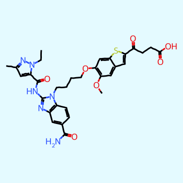 CCn1nc(C)cc1C(=O)Nc1nc2cc(C(N)=O)ccc2n1CCCCOc1cc2sc(C(=O)CCC(=O)O)cc2cc1OC